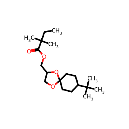 CCC(C)(C)C(=O)OCC1COC2(CCC(C(C)(C)C)CC2)O1